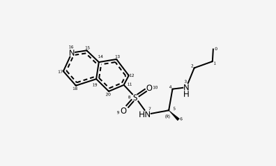 CCCNC[C@@H](C)NS(=O)(=O)c1ccc2cnccc2c1